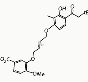 COc1ccc(C(=O)O)cc1OC/C=C/COc1ccc(C(=O)CC(C)(C)C)c(O)c1C